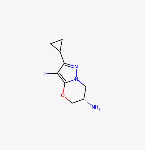 N[C@@H]1COc2c(I)c(C3CC3)nn2C1